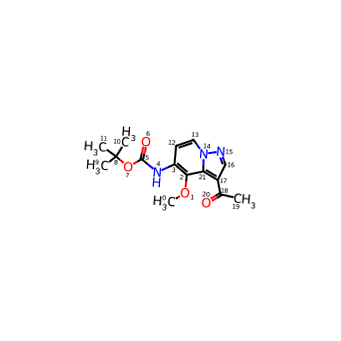 COc1c(NC(=O)OC(C)(C)C)ccn2ncc(C(C)=O)c12